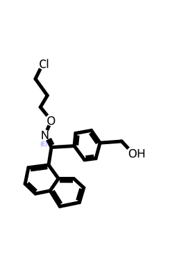 OCc1ccc(/C(=N\OCCCCl)c2cccc3ccccc23)cc1